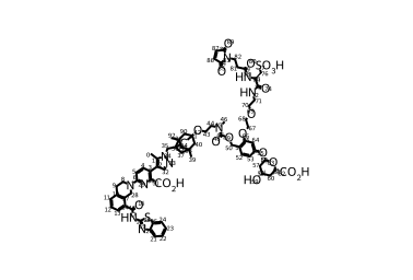 Cc1c(-c2ccc(N3CCc4cccc(C(=O)Nc5nc6ccccc6s5)c4C3)nc2C(=O)O)cnn1CC12CC3(C)CC(OCCN(C)C(=O)OCc4ccc(O[C@H]5C[C@@H](O)C[C@@H](C(=O)O)O5)cc4OCCOCCNC(=O)[C@H](CS(=O)(=O)O)NC(=O)CCN4C(=O)C=CC4=O)(CC1(C)C3)C2